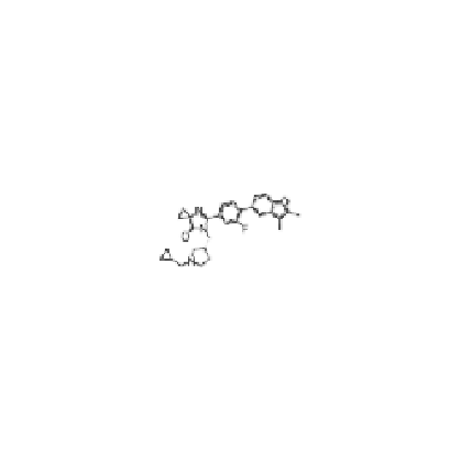 Cc1oc2ccc(-c3ccc(C4=NC5(CC5)C(=O)N4C[C@@H]4CCN(CC5CC5)C4)cc3F)cc2c1C